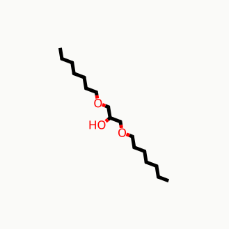 CCCCCCCOCC(O)COCCCCCCC